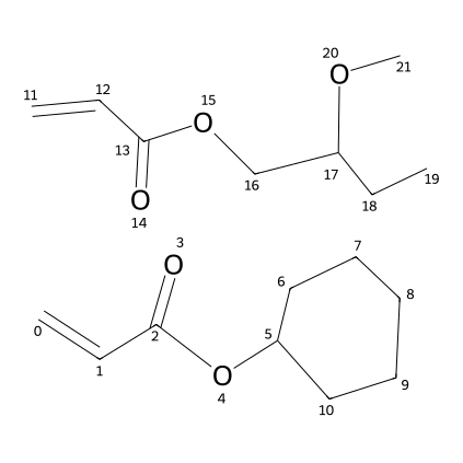 C=CC(=O)OC1CCCCC1.C=CC(=O)OCC(CC)OC